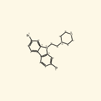 Brc1ccc2c3ccc(Br)cc3n(CCN3CCOCC3)c2c1